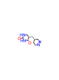 O=c1[nH]cc(Cc2ccnnc2)c(=O)[nH]1